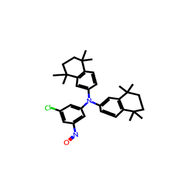 CC1(C)CCC(C)(C)c2cc(N(c3cc(Cl)cc(N=O)c3)c3ccc4c(c3)C(C)(C)CCC4(C)C)ccc21